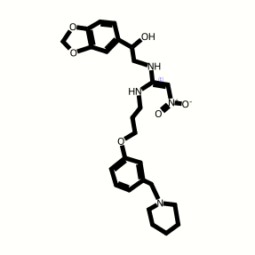 O=[N+]([O-])/C=C(\NCCCOc1cccc(CN2CCCCC2)c1)NCC(O)c1ccc2c(c1)OCO2